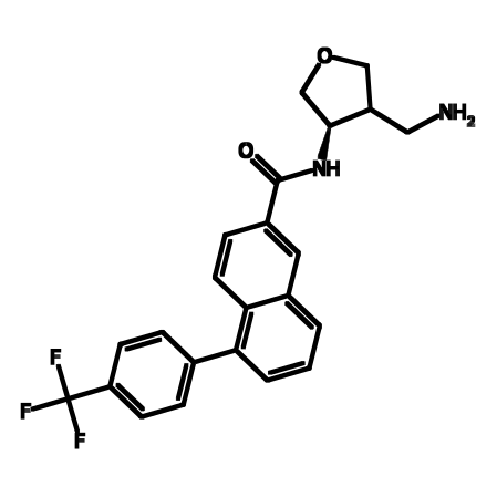 NCC1COC[C@@H]1NC(=O)c1ccc2c(-c3ccc(C(F)(F)F)cc3)cccc2c1